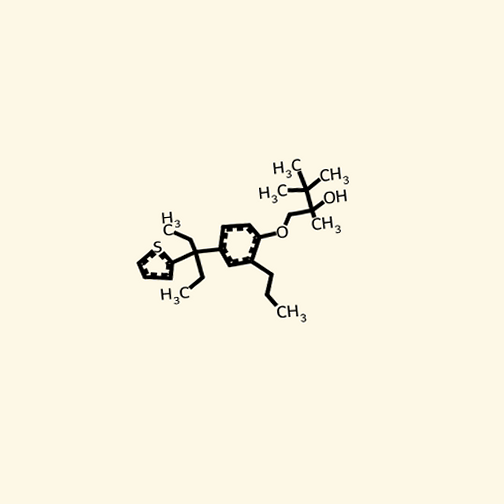 CCCc1cc(C(CC)(CC)c2cccs2)ccc1OCC(C)(O)C(C)(C)C